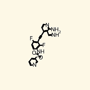 N=Cc1c(C#Cc2c(F)ccc(NS(=O)(=O)c3cccnc3)c2F)ccnc1N